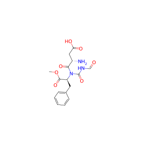 COC(=O)[C@H](Cc1ccccc1)N(C(=O)NC=O)C(=O)[C@@H](N)CC(=O)O